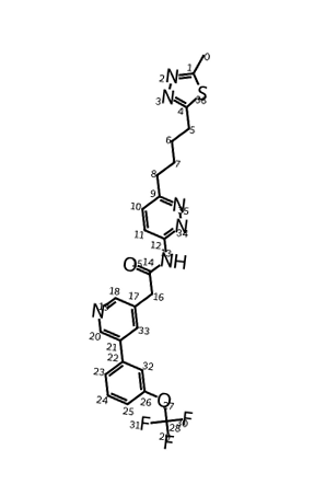 Cc1nnc(CCCCc2ccc(NC(=O)Cc3cncc(-c4cccc(OC(F)(F)F)c4)c3)nn2)s1